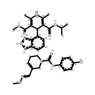 CO/N=C/C1=CCCN(C(=O)Oc2ccc(Cl)cc2)C1.COC(=O)C1=C(C)NC(C)=C(C(=O)OC(C)C)C1c1cccc2nonc12